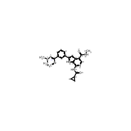 C=N/C(=N\N(C)C)c1cccc(-c2cc3c(C(=O)NC)cnc(NC(=O)C4CC4)c3[nH]2)c1